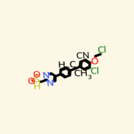 CC(C)(c1ccc(-c2cnc(C[SH](=O)=O)nc2)cc1)c1cc(Cl)c(OCCCl)c(C#N)c1